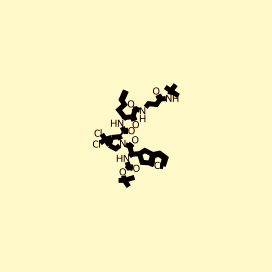 C=CCCC(NC(=O)[C@@H]1C2C(CN1C(=O)C(NC(=O)OC(C)(C)C)C1Cc3ccccc3C1)C2(Cl)Cl)C(=O)C(=O)NCCC(=O)NC(C)(C)C